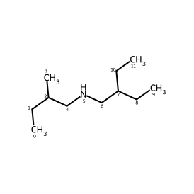 CCC(C)CNCC(CC)CC